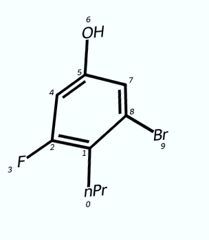 CCCc1c(F)cc(O)cc1Br